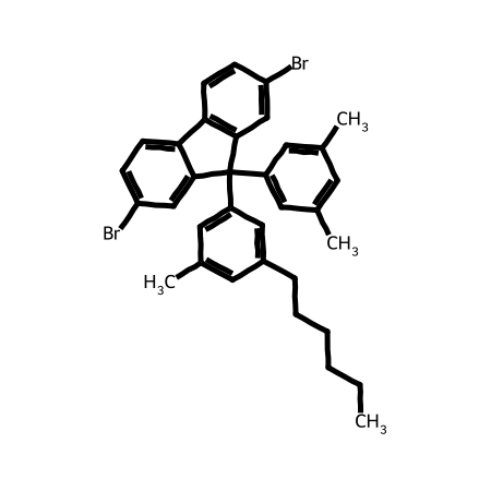 CCCCCCc1cc(C)cc(C2(c3cc(C)cc(C)c3)c3cc(Br)ccc3-c3ccc(Br)cc32)c1